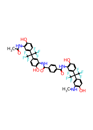 CNc1cc(C(c2ccc(O)c(NC(=O)c3ccc(C(=O)Nc4cc(C(c5ccc(O)c(NC(C)=O)c5)(C(F)(F)F)C(F)(F)F)ccc4O)cc3)c2)(C(F)(F)F)C(F)(F)F)ccc1O